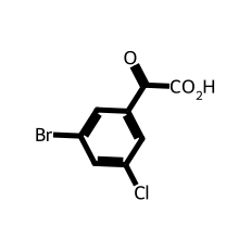 O=C(O)C(=O)c1cc(Cl)cc(Br)c1